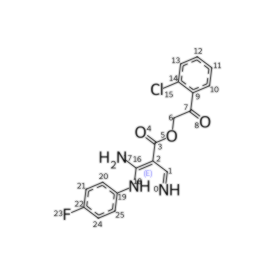 N=C/C(C(=O)OCC(=O)c1ccccc1Cl)=C(/N)Nc1ccc(F)cc1